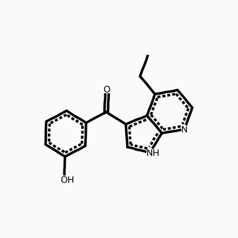 CCc1ccnc2[nH]cc(C(=O)c3cccc(O)c3)c12